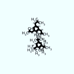 CC(C)(C)c1cc(C(C)(C)C)c(O)c(C(C)(C)C)c1.CC(C)Cc1cc(CC(C)C)c(O)c(CC(C)C)c1